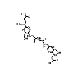 N[C@@H](CCC(=O)O)C(=O)N[C@@H](CO)C(=O)NCC(=O)NCC(=O)NCC(=O)N[C@@H](CO)C(=O)NCC(=O)O